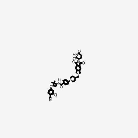 CC1(C)[C@@H](NC(=O)c2ccc(N3CCC(CN4Cc5cc6c(cc5C4)C(=O)N([C@@H]4CCC(=O)NC4=O)C6=O)CC3)cc2)C[C@@H]1Oc1ccc(C#N)c(Cl)c1